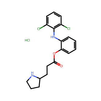 Cl.O=C(CCC1CCCN1)Oc1ccccc1Nc1c(Cl)cccc1Cl